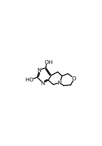 Oc1nc(O)c2c(n1)CN1CCOCC1C2